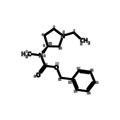 CCN1CC[C@H](N(C)C(=O)OCc2ccccc2)C1